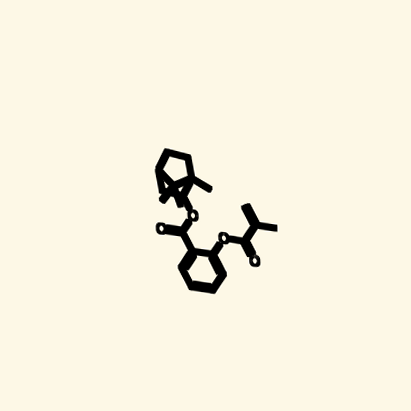 C=C(C)C(=O)Oc1ccccc1C(=O)OC1CC2CCC1(C)C2(C)C